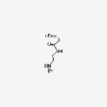 CCCCCCC(=O)NCCNC(C)C